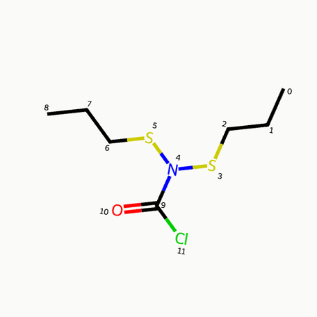 CCCSN(SCCC)C(=O)Cl